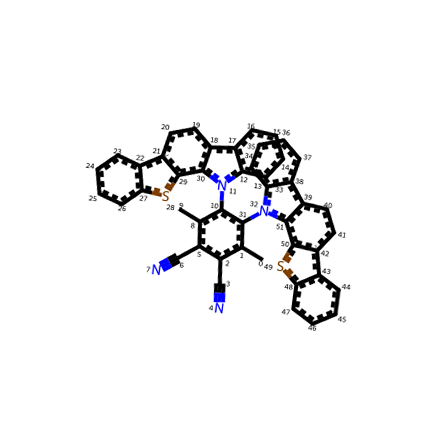 Cc1c(C#N)c(C#N)c(C)c(-n2c3ccccc3c3ccc4c5ccccc5sc4c32)c1-n1c2ccccc2c2ccc3c4ccccc4sc3c21